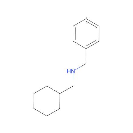 [c]1ccc(CNCC2CCCCC2)cc1